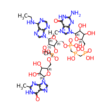 CCNc1ncnc2c1ncn2[C@@H]1O[C@H](COP(=O)(O)CP(=O)(O)CP(=O)(O)OC[C@H]2O[C@@H](n3c[n+](C)c4c(=O)[nH]c(N)nc43)C(O)C2O)C(OP(=O)(O)OC[C@H]2O[C@@H](n3cnc4c(=O)[nH]c(C)nc43)[C@@H](O)C2O)[C@@H]1OC